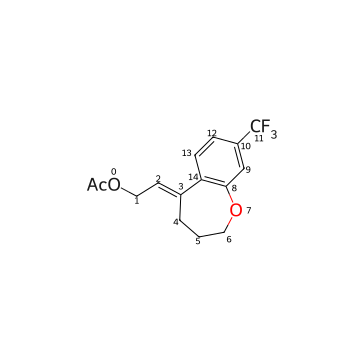 CC(=O)OCC=C1CCCOc2cc(C(F)(F)F)ccc21